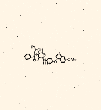 COc1ccc2c(Oc3ccc(NC(=O)C4=C(C)N(C[C@H](O)C(C)C)N(c5ccccc5)OC4)nc3)ccnc2c1